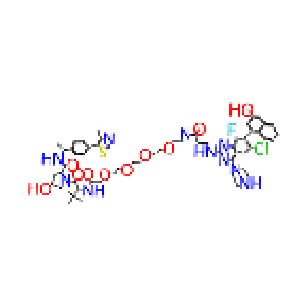 Cc1ncsc1-c1ccc([C@H](C)NC(=O)C2CC(O)CN2C(=O)[C@@H](NC(=O)COCCOCCOCCOCCN(C)C(=O)CCNc2nc(N3CCNCC3)c3cc(Cl)c(-c4cc(O)cc5ccccc45)c(F)c3n2)C(C)(C)C)cc1